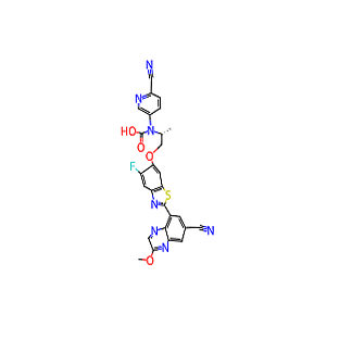 COc1cnc2c(-c3nc4cc(F)c(OC[C@@H](C)N(C(=O)O)c5ccc(C#N)nc5)cc4s3)cc(C#N)cc2n1